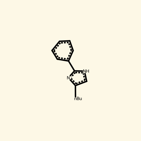 CCCCc1c[nH]c(-c2ccccc2)n1